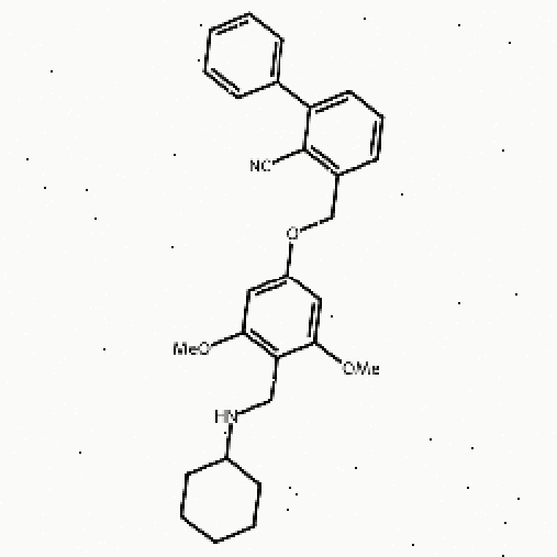 COc1cc(OCc2cccc(-c3ccccc3)c2C#N)cc(OC)c1CNC1CCCCC1